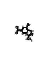 Nc1nsc2c(Br)cc([N+](=O)[O-])cc12